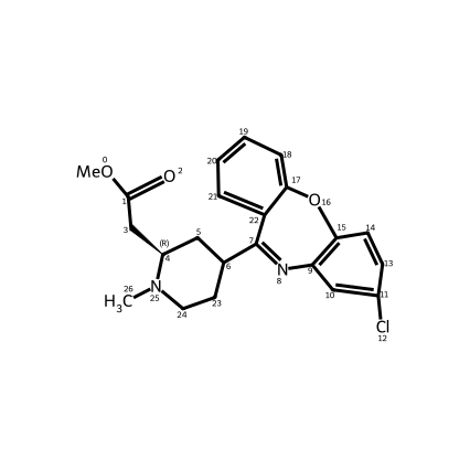 COC(=O)C[C@H]1CC(C2=Nc3cc(Cl)ccc3Oc3ccccc32)CCN1C